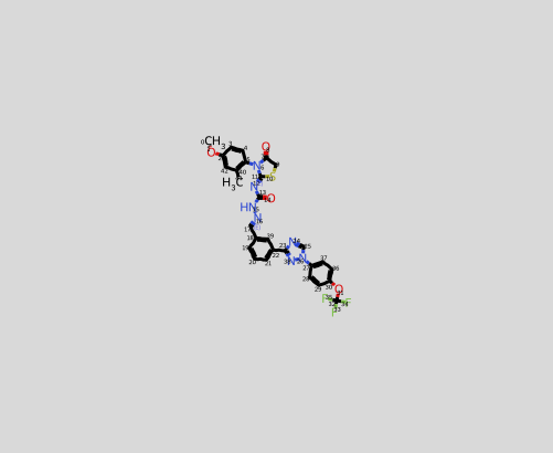 COc1ccc(N2C(=O)CS/C2=N\C(=O)N/N=C/c2cccc(-c3ncn(-c4ccc(OC(F)(F)F)cc4)n3)c2)c(C)c1